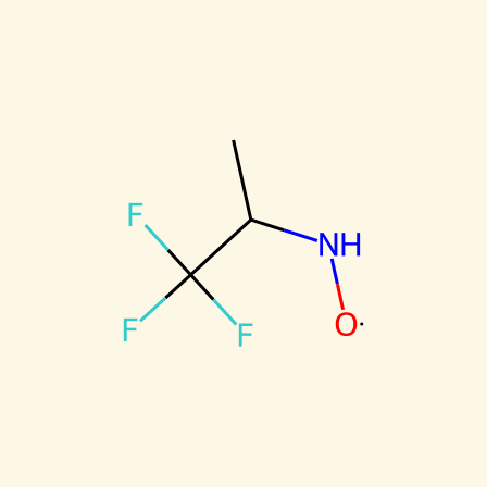 CC(N[O])C(F)(F)F